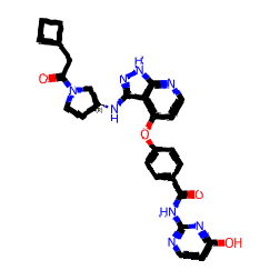 O=C(Nc1nccc(O)n1)c1ccc(Oc2ccnc3[nH]nc(N[C@@H]4CCN(C(=O)CC5CCC5)C4)c23)cc1